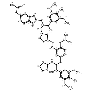 COc1cc(C(O)C(Cc2ccc(CC(O)O)c(OCC3CCC(OC(Cc4nc5cc(CC(=O)O)ccc5[nH]4)C(O)c4cc(OC)c(C)c(OC)c4)C3)n2)OC2CCCC2)cc(OC)c1C